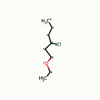 CCCC(Cl)CCOCC